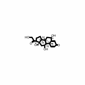 C[C@]12C=CC(=O)C=C1[C@H](O)C[C@@H]1[C@@H]2C(O)C[C@@]2(C)[C@H]1CC[C@]2(O)C(=O)CO